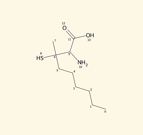 CCCCCCC(C)(S)C(N)C(=O)O